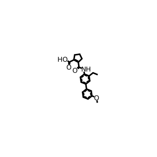 CCc1cc(-c2cccc(OC)c2)ccc1NC(=O)C1=C(C(=O)O)CCC1